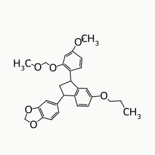 CCCOc1ccc2c(c1)C(c1ccc(OC)cc1OCOC)CC2c1ccc2c(c1)OCO2